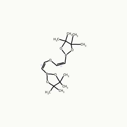 CC1(C)OB(/C=C\O/C=C\B2OC(C)(C)C(C)(C)O2)OC1(C)C